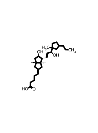 CCCC1CCC(C)([C@@H](O)/C=C/[C@@H]2[C@H]3C/C(=C/CCCC(=O)O)C[C@@H]3C[C@H]2O)C1